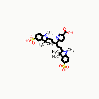 CN1/C(=C/C=C(/C=C/C2=[N+](C)c3ccc(S(=O)(=O)O)cc3C2(C)C)c2ccc(C(=O)O)cn2)C(C)(C)c2cc(S(=O)(=O)O)ccc21